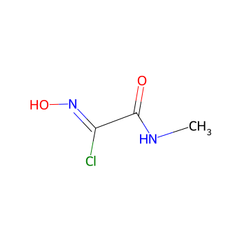 CNC(=O)C(Cl)=NO